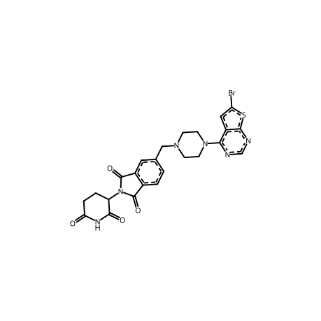 O=C1CCC(N2C(=O)c3ccc(CN4CCN(c5ncnc6sc(Br)cc56)CC4)cc3C2=O)C(=O)N1